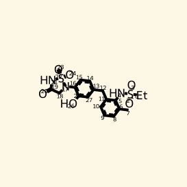 CCS(=O)(=O)Nc1c(C)cccc1Cc1ccc(N2CC(=O)NS2(=O)=O)c(O)c1